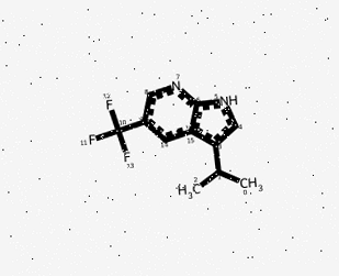 CC(C)c1c[nH]c2ncc(C(F)(F)F)cc12